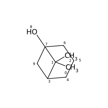 CC1(C)C2CCCC1(O)C2